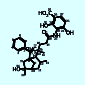 C=C(c1ccccc1)C12CC(CC(C)C1[C@@](C)(C=O)CCC(=O)Nc1c(O)ccc(C(=O)O)c1O)C(C)(O)C2